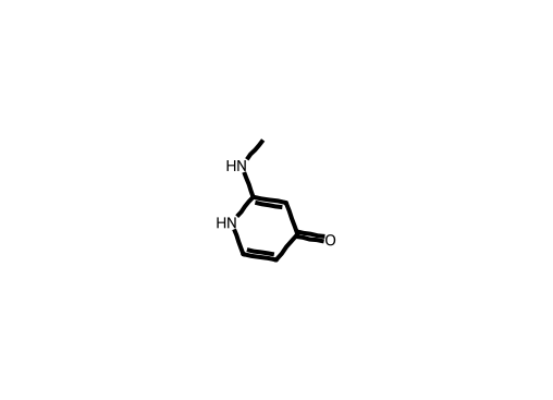 CNc1cc(=O)cc[nH]1